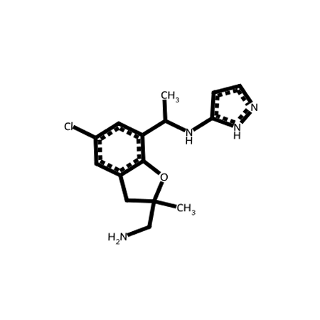 CC(Nc1ccn[nH]1)c1cc(Cl)cc2c1OC(C)(CN)C2